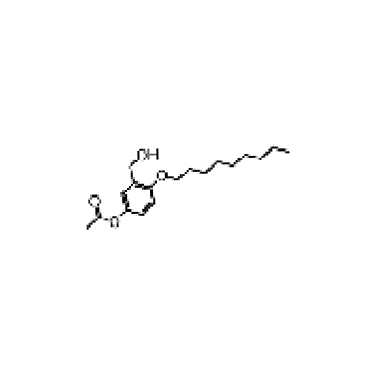 CCCCCCCCCOc1ccc(OC(C)=O)cc1CO